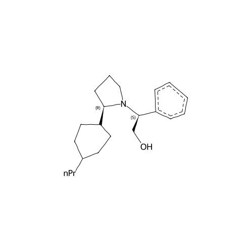 CCCC1CCC([C@H]2CCCN2[C@H](CO)c2ccccc2)CC1